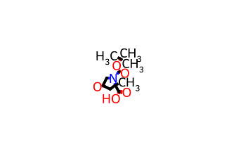 CC(C)(C)OC(=O)N1CC(=O)CC1(C)C(=O)O